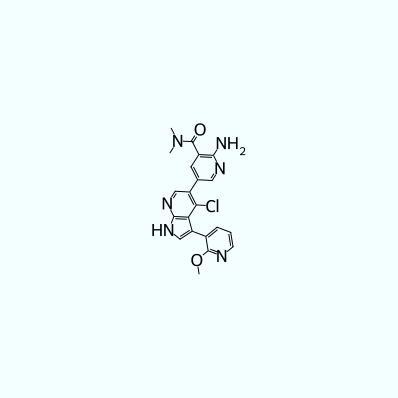 COc1ncccc1-c1c[nH]c2ncc(-c3cnc(N)c(C(=O)N(C)C)c3)c(Cl)c12